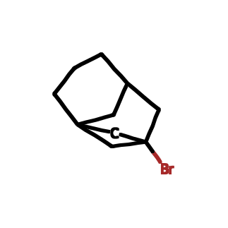 BrC12CC3CCCC(C3)(C1)C2